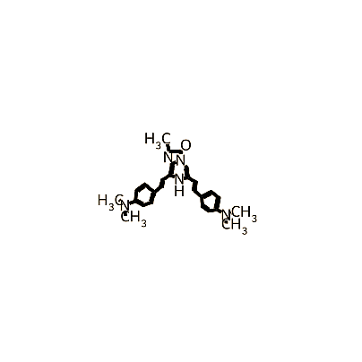 Cc1nc2c(/C=C/c3ccc(N(C)C)cc3)[nH]c(/C=C/c3ccc(N(C)C)cc3)cn-2c1=O